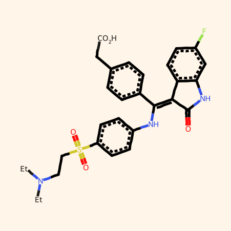 CCN(CC)CCS(=O)(=O)c1ccc(N/C(=C2\C(=O)Nc3cc(F)ccc32)c2ccc(CC(=O)O)cc2)cc1